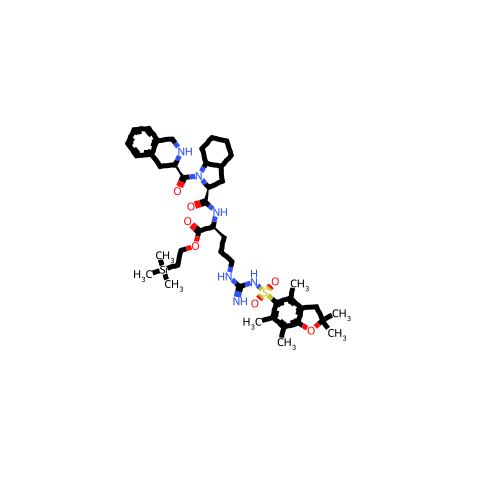 Cc1c(C)c(S(=O)(=O)NC(=N)NCCC[C@H](NC(=O)[C@@H]2CC3CCCCC3N2C(=O)[C@H]2Cc3ccccc3CN2)C(=O)OCC[Si](C)(C)C)c(C)c2c1OC(C)(C)C2